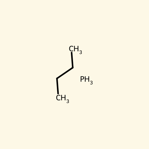 CCCC.P